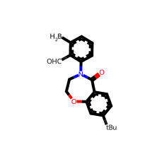 Bc1cccc(N2CCOc3cc(C(C)(C)C)ccc3C2=O)c1C=O